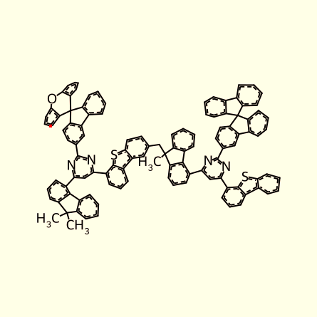 CC1(C)c2ccccc2-c2c(-c3cc(-c4cccc5c4sc4ccc(CC6(C)c7ccccc7-c7c(-c8cc(-c9cccc%10c9sc9ccccc9%10)nc(-c9ccc%10c(c9)-c9ccccc9C%109c%10ccccc%10-c%10ccccc%109)n8)cccc76)cc45)nc(-c4ccc5c(c4)-c4ccccc4C54c5ccccc5Oc5ccccc54)n3)cccc21